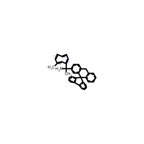 CC1=C\C(C(C)(N)c2ccc3c(c2)C2(c4ccccc4C3)c3ccccc3-c3ccccc32)=C/C=C/C=C\1